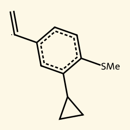 C=[C]c1ccc(SC)c(C2CC2)c1